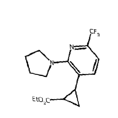 CCOC(=O)C1CC1c1ccc(C(F)(F)F)nc1N1CCCC1